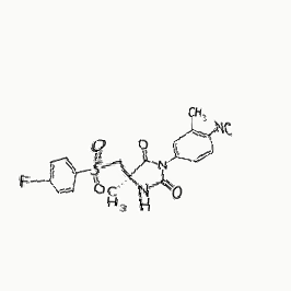 [C-]#[N+]c1ccc(N2C(=O)N[C@@](C)(CS(=O)(=O)c3ccc(F)cc3)C2=O)cc1C